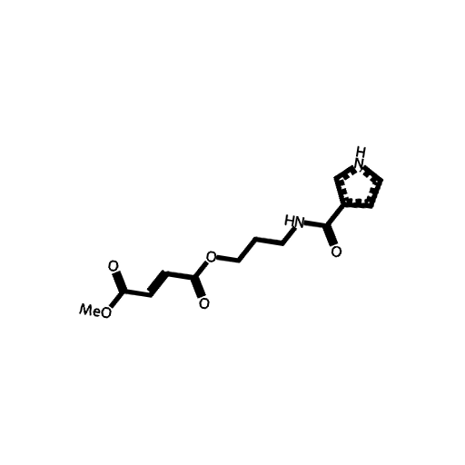 COC(=O)/C=C/C(=O)OCCCNC(=O)c1cc[nH]c1